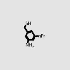 CCCc1cc(N)cc(CS)c1